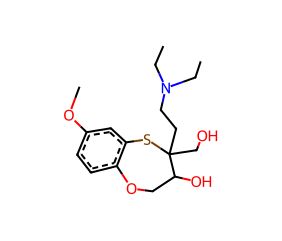 CCN(CC)CCC1(CO)Sc2cc(OC)ccc2OCC1O